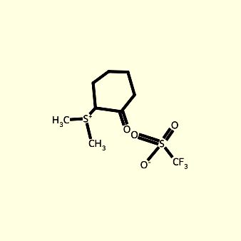 C[S+](C)C1CCCCC1=O.O=S(=O)([O-])C(F)(F)F